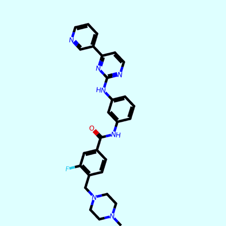 CN1CCN(Cc2ccc(C(=O)Nc3cccc(Nc4nccc(-c5cccnc5)n4)c3)cc2F)CC1